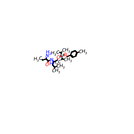 CCC(N)C(=O)NC(CO[Si](OCc1ccc(C)cc1)(C(C)C)C(C)C)CC(C)C